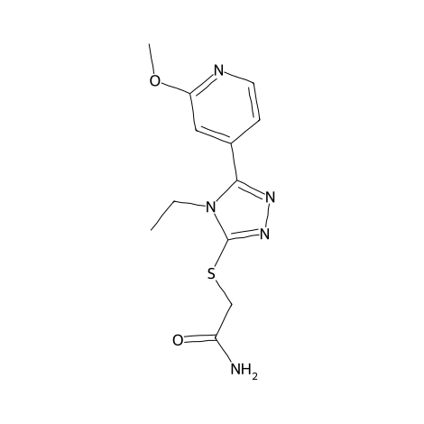 CCn1c(SCC(N)=O)nnc1-c1ccnc(OC)c1